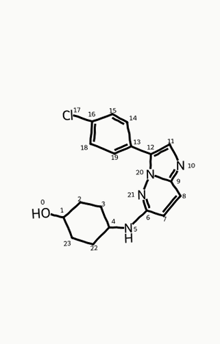 OC1CCC(Nc2ccc3ncc(-c4ccc(Cl)cc4)n3n2)CC1